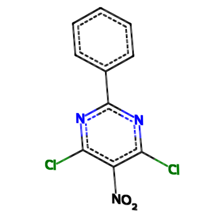 O=[N+]([O-])c1c(Cl)nc(-c2ccccc2)nc1Cl